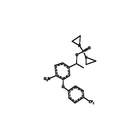 CC(OP(=O)(N1CC1)N1CC1)c1ccc([N+](=O)[O-])c(Oc2ccc(C(F)(F)F)cc2)c1